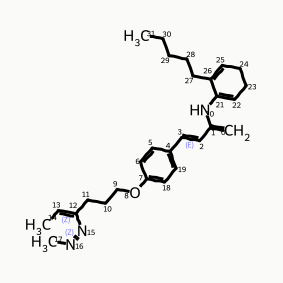 C=C(/C=C/c1ccc(OCCCC(=C/C)/N=N\C)cc1)NC1=CCCC=C1CCCCC